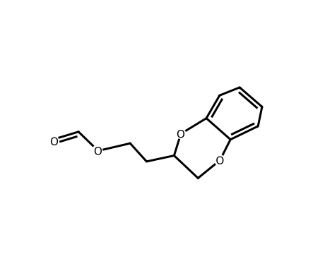 O=COCCC1COc2ccccc2O1